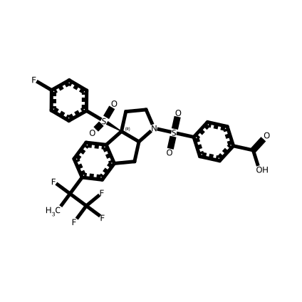 CC(F)(c1ccc2c(c1)CC1N(S(=O)(=O)c3ccc(C(=O)O)cc3)CC[C@@]21S(=O)(=O)c1ccc(F)cc1)C(F)(F)F